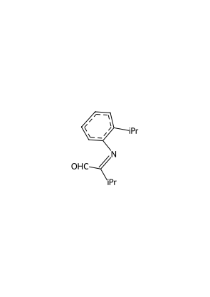 CC(C)C(C=O)=Nc1ccccc1C(C)C